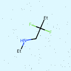 CCNCC(F)(F)CC